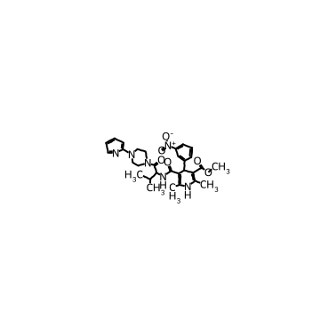 COC(=O)C1=C(C)NC(C)=C(C(=O)NC(C(=O)N2CCN(c3ccccn3)CC2)C(C)C)C1c1cccc([N+](=O)[O-])c1